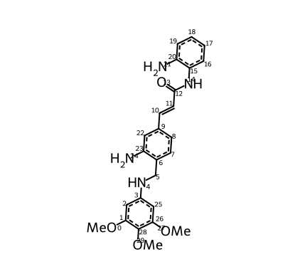 COc1cc(NCc2ccc(C=CC(=O)Nc3ccccc3N)cc2N)cc(OC)c1OC